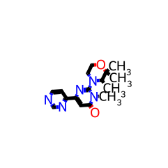 CC1N(c2nc(-c3ccncn3)cc(=O)n2C)CCOC1(C)C